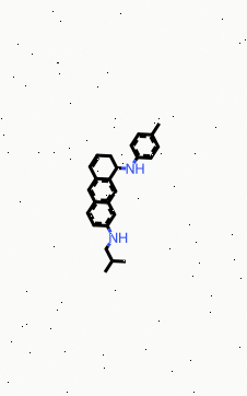 Cc1ccc(NC2CC=Cc3cc4ccc(NCC(C)C)cc4cc32)cc1